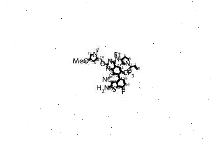 C=CC(=O)N1CC[C@@H](N(CC)c2nc(OC[C@@H]3C[C@@H](OC)CN3C)nc3c(F)c(-c4ccc(F)c5sc(N)c(C#N)c45)c(C(F)(F)F)cc23)[C@H]1C